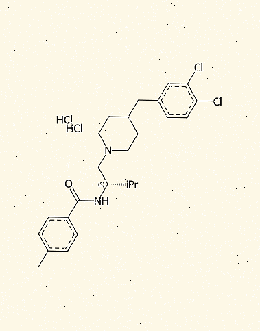 Cc1ccc(C(=O)N[C@H](CN2CCC(Cc3ccc(Cl)c(Cl)c3)CC2)C(C)C)cc1.Cl.Cl